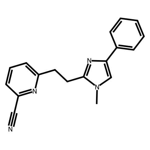 Cn1cc(-c2ccccc2)nc1CCc1cccc(C#N)n1